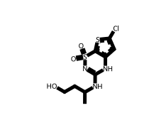 CC(CCO)NC1=NS(=O)(=O)c2sc(Cl)cc2N1